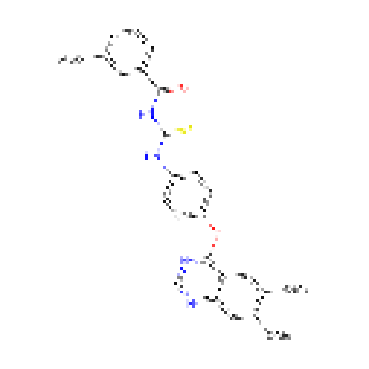 COc1cccc(C(=O)NC(=S)Nc2ccc(Oc3ncnc4cc(OC)c(OC)cc34)cc2)c1